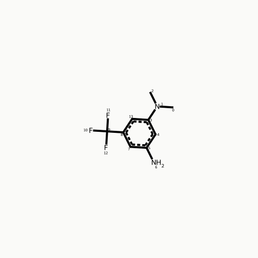 CN(C)c1cc(N)cc(C(F)(F)F)c1